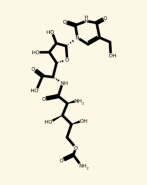 NC(=O)OC[C@H](O)[C@@H](O)[C@H](N)C(=O)N[C@H](C(=O)O)[C@H]1O[C@@H](n2cc(CO)c(=O)[nH]c2=O)C(O)C1O